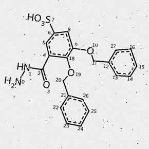 NNC(=O)c1cc(S(=O)(=O)O)cc(OCc2ccccc2)c1OCc1ccccc1